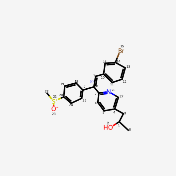 CC(O)Cc1ccc(/C(=C\c2cccc(Br)c2)c2ccc([S+](C)[O-])cc2)nc1